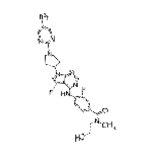 CCCc1cnc(N2CCC(n3cc(F)c4c(Nc5ccc(C(=O)N(C)CCO)cc5F)ncnc43)CC2)nc1